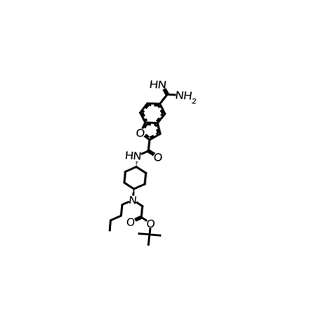 CCCCN(CC(=O)OC(C)(C)C)[C@H]1CC[C@H](NC(=O)c2cc3cc(C(=N)N)ccc3o2)CC1